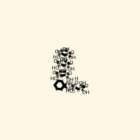 NC1(N)CCCCC1.O=P(O)(O)CP(=O)(O)O.O=P(O)(O)CP(=O)(O)O.O=P(O)(O)CP(=O)(O)O.O=P(O)(O)CP(=O)(O)O